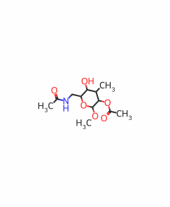 COC1OC(CNC(C)=O)C(O)C(C)C1OC(C)=O